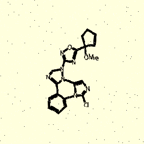 COC1(c2nc(N3CN=C4c5ccccc5-n5c(cnc5Cl)N43)no2)CCCC1